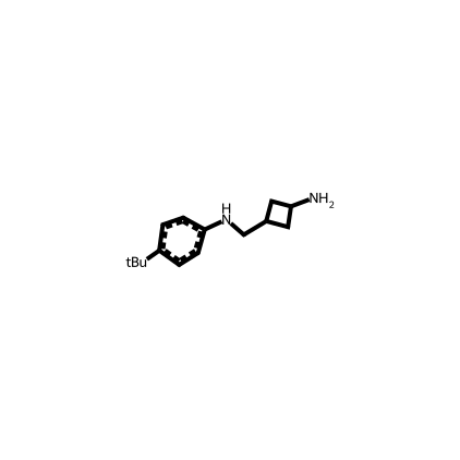 CC(C)(C)c1ccc(NCC2CC(N)C2)cc1